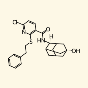 O=C(N[C@H]1C2CC3CC1C[C@](O)(C3)C2)c1ccc(Cl)nc1SCCc1ccccc1